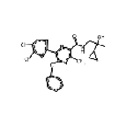 CC(O)(CNC(=O)c1nc(-c2ccc(Cl)c(Cl)c2)c(Oc2ccccc2)nc1C(F)(F)F)C1CC1